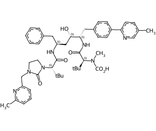 Cc1ccc(-c2ccc(C[C@H](NC(=O)[C@@H](N(C)C(=O)O)C(C)(C)C)[C@@H](O)C[C@H](Cc3ccccc3)NC(=O)[C@@H](N3CCN(Cc4cccc(C)n4)C3=O)C(C)(C)C)cc2)nc1